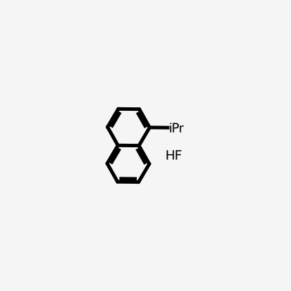 CC(C)c1cccc2ccccc12.F